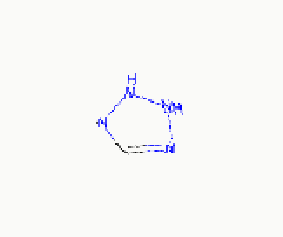 C1=NNN[N]1